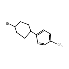 CCC1CCC(c2ccc(C(F)(F)F)cc2)CC1